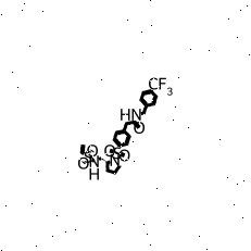 C=CS(=O)(=O)NC[C@H]1CCCN1S(=O)(=O)c1ccc(CC(=O)NCc2ccc(C(F)(F)F)cc2)cc1